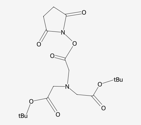 CC(C)(C)OC(=O)CN(CC(=O)ON1C(=O)CCC1=O)CC(=O)OC(C)(C)C